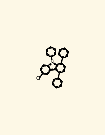 Clc1ccc2c(c1)c1c(-c3ccccc3)ccc(-c3ccccc3)c1n2-c1ccccc1